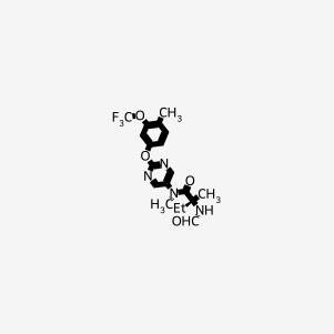 CC[C@@](C)(NC=O)C(=O)N(C)c1cnc(Oc2ccc(C)c(OC(F)(F)F)c2)nc1